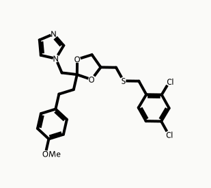 COc1ccc(CCC2(Cn3ccnc3)OCC(CSCc3ccc(Cl)cc3Cl)O2)cc1